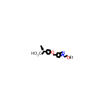 CC#C[C@@H](CC(=O)O)c1ccc(OCc2ccc3c(cnn3CCOCC)c2)cc1